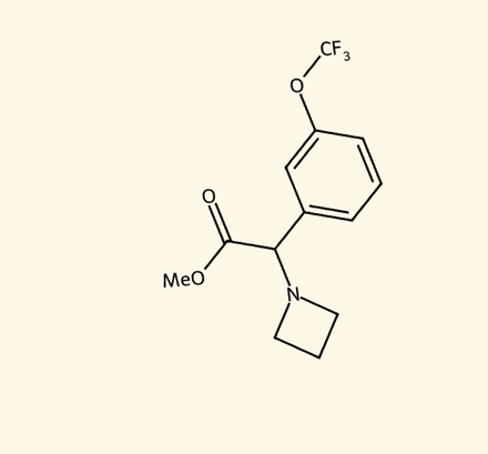 COC(=O)C(c1cccc(OC(F)(F)F)c1)N1CCC1